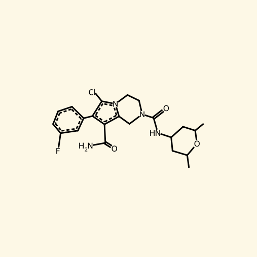 CC1CC(NC(=O)N2CCn3c(Cl)c(-c4cccc(F)c4)c(C(N)=O)c3C2)CC(C)O1